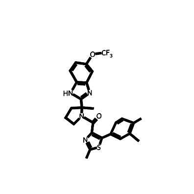 Cc1nc(C(=O)N2CCCC2(C)c2nc3cc(OC(F)(F)F)ccc3[nH]2)c(-c2ccc(C)c(C)c2)s1